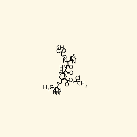 C=C(Cl)COC(=O)C1=C(CSc2nnnn2C)CS[C@H]2C(NC(=O)C(=NOCC(=O)OC)c3cscn3)C(=O)N12